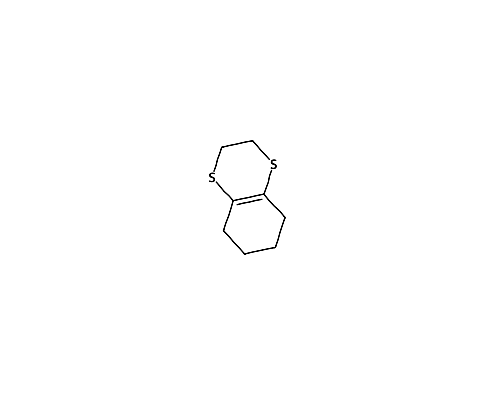 C1CCC2=C(C1)SCCS2